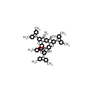 CSN1c2cc3c(cc2B2c4cc(C)ccc4Oc4cc(-n5c6ccc(C)cc6c6cc(C)ccc65)cc1c42)B1c2cc4c(cc2Oc2cc(-n5c6ccc(C)cc6c6cc(C)ccc65)cc(c21)N3SC)Nc1cc(-n2c3ccc(C)cc3c3cc(C)ccc32)cc2c1B4c1cc(C)cc3c4cc(C)ccc4n-2c13